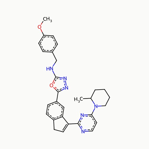 COc1ccc(CNc2nnc(-c3ccc4c(c3)C(c3nccc(N5CCCCC5C)n3)=CC4)o2)cc1